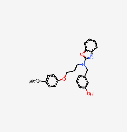 COc1ccc(OCCCN(Cc2cccc(O)c2)c2nc3ccccc3o2)cc1